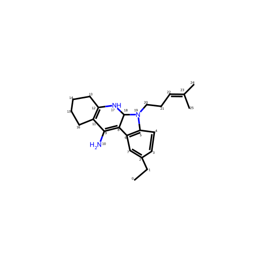 CCc1ccc2c(c1)C1=C(N)C3=C(CCCC3)NC1N2CCC=C(C)C